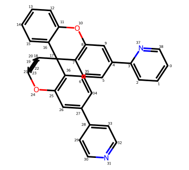 c1ccc(-c2ccc3c(c2)Oc2ccccc2C32c3ccccc3Oc3cc(-c4ccncc4)ccc32)nc1